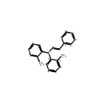 Cc1cccc[c]1[Bi]([CH]=Cc1ccccc1)[c]1ccccc1C